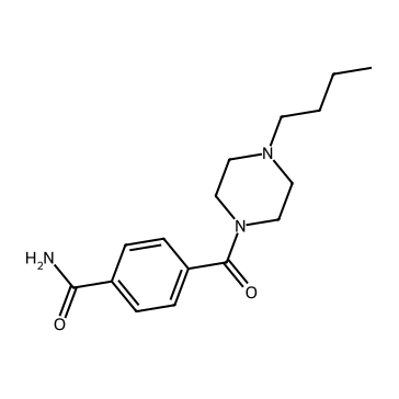 CCCCN1CCN(C(=O)c2ccc(C(N)=O)cc2)CC1